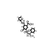 CC(NS(=O)(=O)c1cc(C(=O)O)c(NCc2ccco2)cc1Cl)c1ccccc1